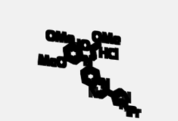 COCC(O)CN(c1cc(OC)cc(OC)c1)c1ccc2ncc(-c3cnn(C(C)C)c3)nc2c1.Cl